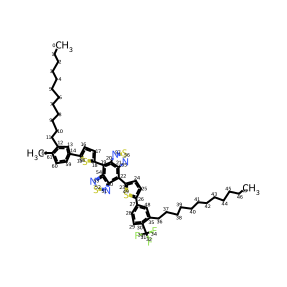 CCCCCCCCCCCCc1cc(-c2ccc(-c3c4c(c(-c5ccc(-c6ccc(C(F)(F)F)c(CCCCCCCCCCCC)c6)s5)c5nsnc35)N=S=N4)s2)ccc1C